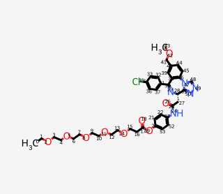 CCOCCOCCOCCOCCOCCC(=O)Oc1ccc(NC(=O)C[C@@H]2N=C(c3ccc(Cl)cc3)c3cc(COC)ccc3-n3cnnc32)cc1